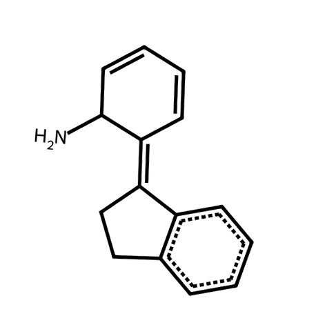 NC1C=CC=CC1=C1CCc2ccccc21